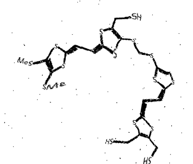 CSC1=C(SC)SC(=CC=C2SC(CS)=C(SCSC3=CSC(=CC=C4SC(CS)=C(CS)S4)S3)S2)S1